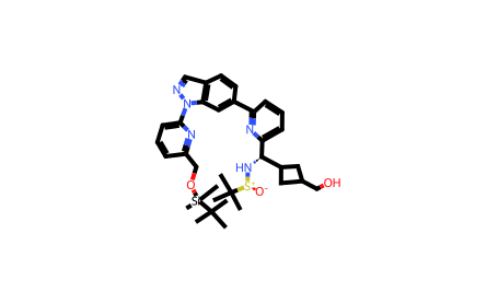 CC(C)(C)[S@@+]([O-])N[C@H](c1cccc(-c2ccc3cnn(-c4cccc(CO[Si](C)(C)C(C)(C)C)n4)c3c2)n1)C1CC(CO)C1